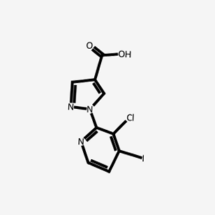 O=C(O)c1cnn(-c2nccc(I)c2Cl)c1